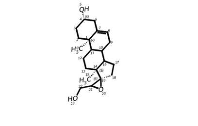 C[C@]12CC[C@H](O)CC1=CCC1C2CC[C@@]2(C)C1CC[C@@]21OC1CO